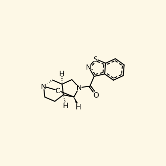 O=C(c1nsc2ccccc12)N1C[C@@H]2C[N@@]3CC[C@@H]2[C@@H]1C3